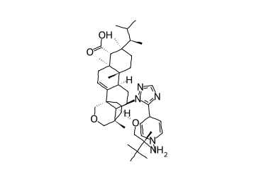 CC(C)[C@@H](C)[C@@]1(C)CC[C@]2(C)[C@H]3CC[C@@H]4[C@@]5(COC[C@@]4(C)[C@@H](OC[C@](C)(N)C(C)(C)C)[C@H](n4ncnc4C4C=CN(C)C=C4)C5)C3=CC[C@@]2(C)[C@@H]1C(=O)O